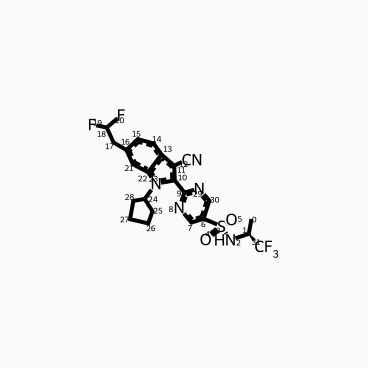 C[C@H](NS(=O)(=O)c1cnc(-c2c(C#N)c3ccc(CC(F)F)cc3n2C2CCCC2)nc1)C(F)(F)F